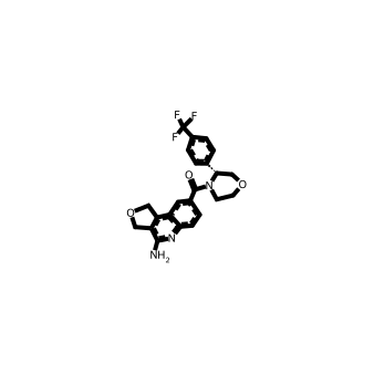 Nc1nc2ccc(C(=O)N3CCOC[C@H]3c3ccc(C(F)(F)F)cc3)cc2c2c1COC2